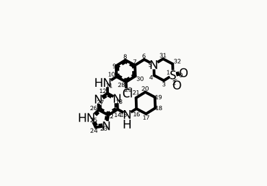 O=S1(=O)CCN(Cc2ccc(Nc3nc(NC4CCCCC4)c4nc[nH]c4n3)c(Cl)c2)CC1